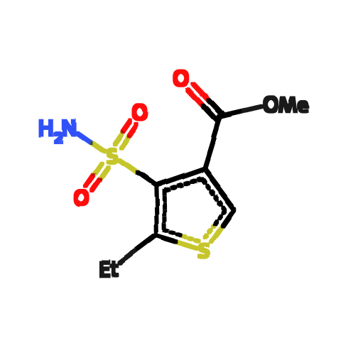 CCc1scc(C(=O)OC)c1S(N)(=O)=O